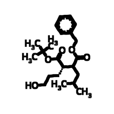 CC(C)CC(C(=O)OCc1ccccc1)[C@H](CCCO)C(=O)OC(C)(C)C